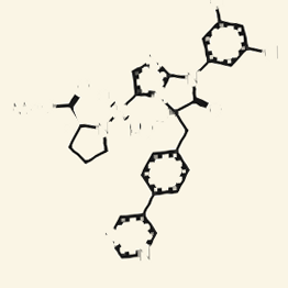 COC(=O)[C@@H]1CCCN1S(=O)(=O)c1cnc2n1[C@](C)(Cc1ccc(-c3cncnc3)cc1)C(=O)N2c1cc(Cl)cc(Cl)c1